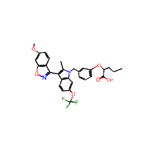 CCCC(Oc1cccc(Cn2c(C)c(-c3noc4cc(OC)ccc34)c3ccc(OC(F)(F)F)cc32)c1)C(=O)O